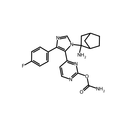 NC(=O)Oc1nccc(-c2c(-c3ccc(F)cc3)ncn2C2(N)CC3CCC2C3)n1